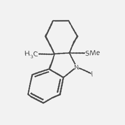 CSC12CCCCC1(C)c1ccccc1N2I